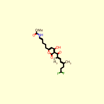 COC(=O)N/C=C/CCCc1cc(O)c(C(=O)/C(C)=C/C=C(\C)CCC(F)F)c(=O)o1